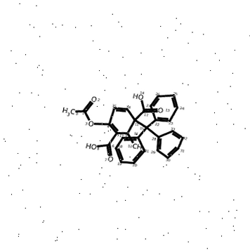 CC(=O)OC1=C(C(=O)O)C(C)C(C(=O)O)(C(c2ccccc2)(c2ccccc2)c2ccccc2)C=C1